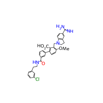 COc1ccc(-c2cccc(C(=O)NCCc3cccc(Cl)c3)c2)c(C(=O)O)c1CN1CCc2cc(C(=N)N)ccc21